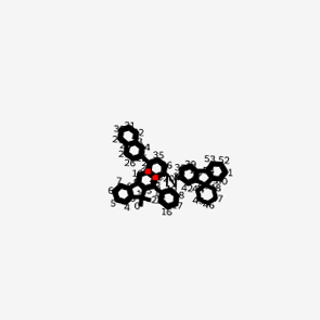 CC1(C)c2ccccc2-c2cccc(-c3ccccc3N(c3ccc(-c4ccc5ccccc5c4)cc3)c3ccc4c(c3)C3(CCCCC3)c3ccccc3-4)c21